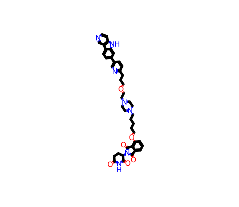 O=C1CCC(N2C(=O)c3cccc(OCCCCCN4CCN(CCOCCCc5ccc(-c6ccc7c(c6)[nH]c6ccncc67)cn5)CC4)c3C2=O)C(=O)N1